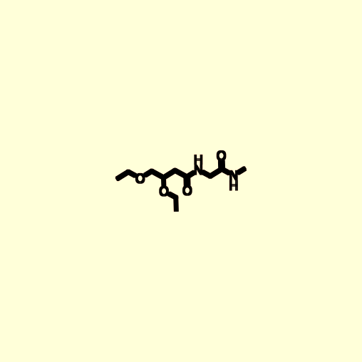 CCOCC(CC(=O)NCC(=O)NC)OCC